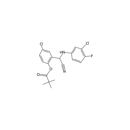 CC(C)(C)C(=O)Oc1ccc(Cl)cc1C(C#N)Nc1ccc(F)c(Cl)c1